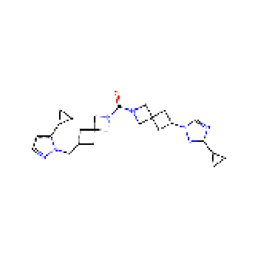 O=C(N1CC2(CC(Cn3nccc3C3CC3)C2)C1)N1CC2(CC(n3cnc(C4CC4)n3)C2)C1